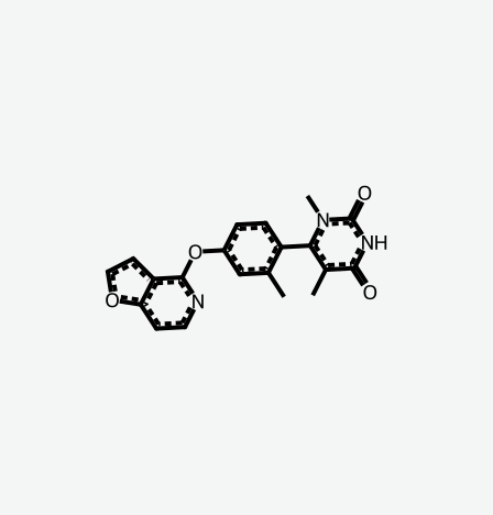 Cc1cc(Oc2nccc3occc23)ccc1-c1c(C)c(=O)[nH]c(=O)n1C